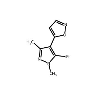 Cc1nn(C)c(C(C)C)c1-c1ccno1